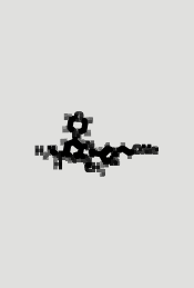 COCCn1cc(-c2nc3c(N4CCOCC4)cc(NN)nc3n2C)cn1